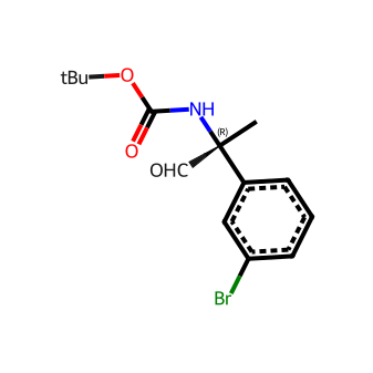 CC(C)(C)OC(=O)N[C@@](C)(C=O)c1cccc(Br)c1